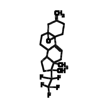 C=C1CCC23OC2(CCC2C3=CCC3(C)C2CCC3(O)C(F)(F)C(F)(F)F)C1